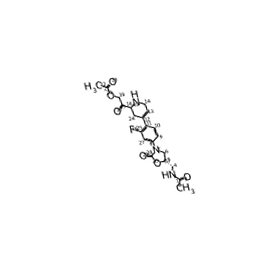 CC(=O)NC[C@H]1CN(c2ccc(C3=CCNC(C(=O)COC(C)=O)C3)c(F)c2)C(=O)O1